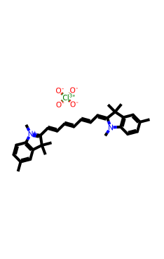 Cc1ccc2c(c1)C(C)(C)C(=CC=CC=CC=CC1=[N+](C)c3ccc(C)cc3C1(C)C)N2C.[O-][Cl+3]([O-])([O-])[O-]